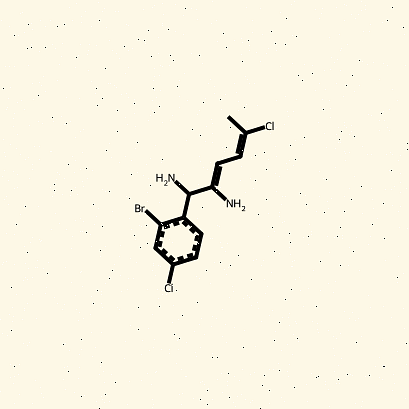 C/C(Cl)=C\C=C(/N)C(N)c1ccc(Cl)cc1Br